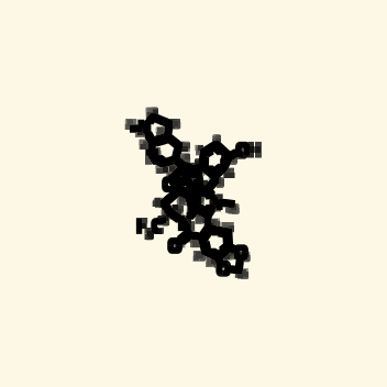 Cc1c(C(=O)N(c2ccc(O)cc2)C2C=NC3=C(CCN3C)C2)cc(-c2cc3c(cc2C(=O)N2Cc4ccccc4C[C@H]2C(F)(F)F)OCO3)n1C